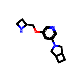 c1ncc(N2CC3CCC3C2)cc1OC[C@@H]1CCN1